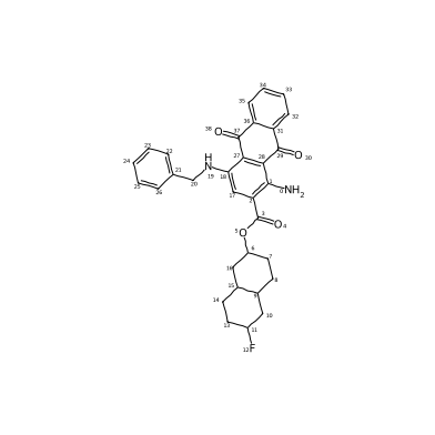 Nc1c(C(=O)OC2CCC3CC(F)CCC3C2)cc(NCc2ccccc2)c2c1C(=O)c1ccccc1C2=O